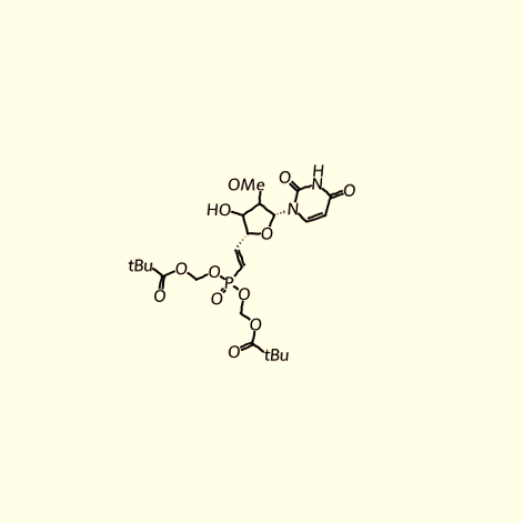 COC1C(O)[C@@H](/C=C/P(=O)(OCOC(=O)C(C)(C)C)OCOC(=O)C(C)(C)C)O[C@H]1n1ccc(=O)[nH]c1=O